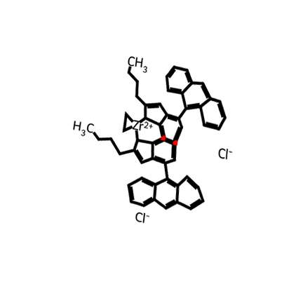 CCCCC1=Cc2c(-c3c4ccccc4cc4ccccc34)cccc2[CH]1[Zr+2]1([CH]2C(CCCC)=Cc3c(-c4c5ccccc5cc5ccccc45)cccc32)[CH2][CH2]1.[Cl-].[Cl-]